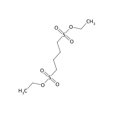 CCOS(=O)(=O)CCCCS(=O)(=O)OCC